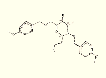 CCS[C@@H]1OC(COCc2ccc(OC)cc2)[C@@H](C)[C@H](C)C1OCc1ccc(OC)cc1